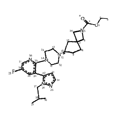 CCOC(=O)N1CC2(CCC(=[N+]3CCN(c4ncc(F)cc4-c4ccnn4CC(C)C)CC3)C2)C1